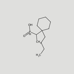 CCCCC1(C(C)[PH](=O)O)CCCCC1